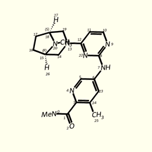 CNC(=O)c1ncc(Nc2nccc(N3C[C@H]4CC[C@@H](C3)N4C)n2)cc1C